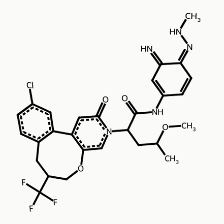 CN/N=C1/C=CC(NC(=O)C(CC(C)OC)n2cc3c(cc2=O)-c2cc(Cl)ccc2CC(C(F)(F)F)CO3)=CC1=N